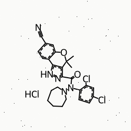 CC1(C)Oc2cc(C#N)ccc2-c2[nH]nc(C(=O)N(c3ccc(Cl)cc3Cl)N3CCCCCC3)c21.Cl